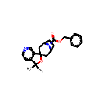 CC1(C)OC2(CC3CCC(C2)N3C(=O)OCc2ccccc2)c2cnccc21